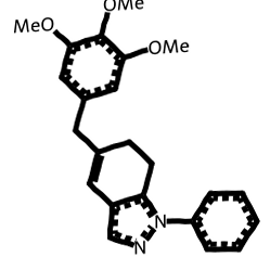 COc1cc(CC2=Cc3cnn(-c4ccccc4)c3CC2)cc(OC)c1OC